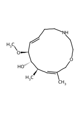 CO[C@H]1/C=C/CCNCCOC/C(C)=C\[C@@H](C)[C@@H]1O